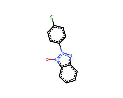 [O-][n+]1c2ccccc2nn1-c1ccc(Cl)cc1